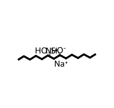 CCCCCCCCCCCCCC.N.O=S(=O)([O-])O.[Na+]